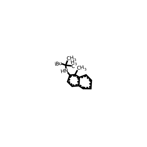 CCC(C)C(C)(C)Nc1ccc2ccccc2c1C